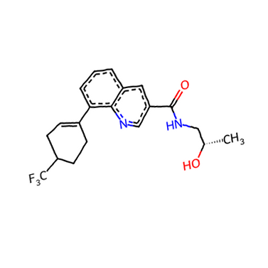 C[C@H](O)CNC(=O)c1cnc2c(C3=CCC(C(F)(F)F)CC3)cccc2c1